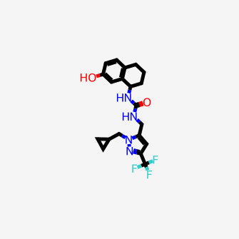 O=C(NCc1cc(C(F)(F)F)nn1CC1CC1)NC1CCCc2ccc(O)cc21